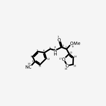 COC(C(=O)NCc1ccc(C#N)cc1)C1=CCOO1